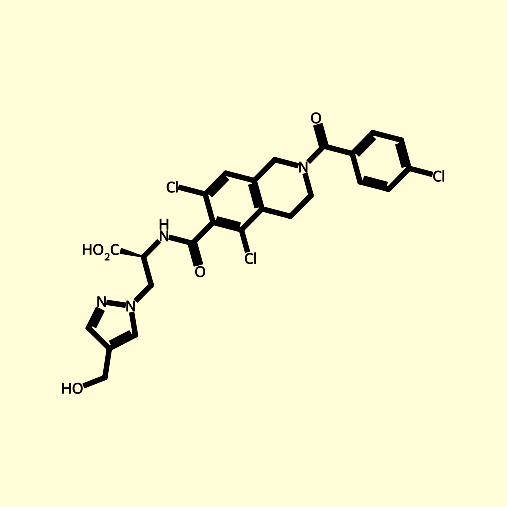 O=C(N[C@@H](Cn1cc(CO)cn1)C(=O)O)c1c(Cl)cc2c(c1Cl)CCN(C(=O)c1ccc(Cl)cc1)C2